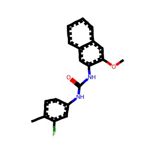 COc1cc2ccccc2cc1NC(=O)Nc1ccc(C)c(F)c1